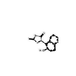 COc1ccc2ncccc2c1C1OC(=S)NC1=O